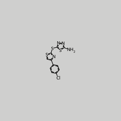 Nc1nnc(Sc2nc(-c3ccc(Cl)cc3)cs2)s1